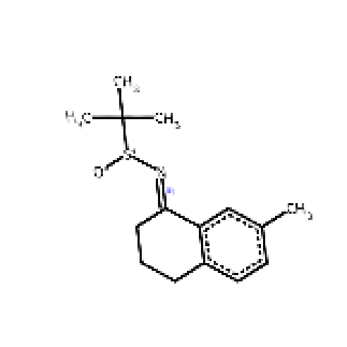 Cc1ccc2c(c1)/C(=N/[S+]([O-])C(C)(C)C)CCC2